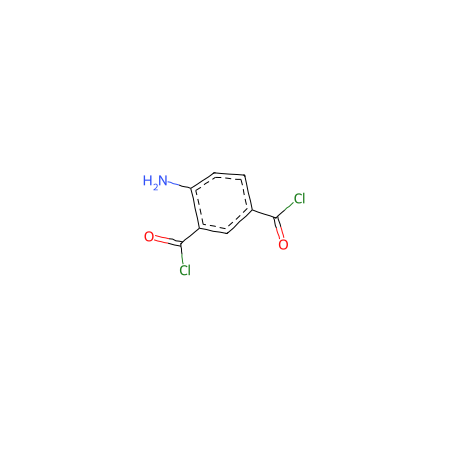 Nc1ccc(C(=O)Cl)cc1C(=O)Cl